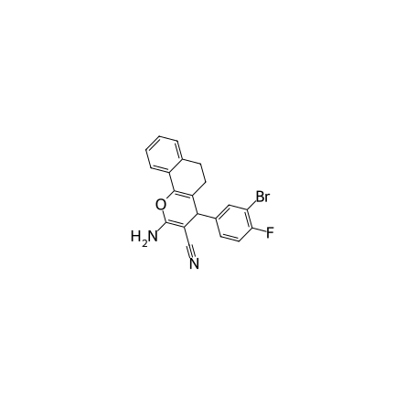 N#CC1=C(N)OC2=C(CCc3ccccc32)C1c1ccc(F)c(Br)c1